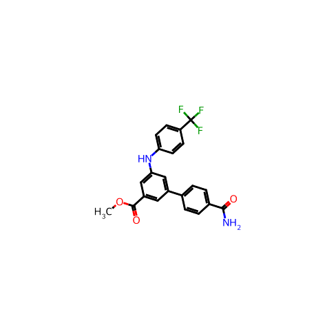 COC(=O)c1cc(Nc2ccc(C(F)(F)F)cc2)cc(-c2ccc(C(N)=O)cc2)c1